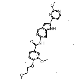 COCCOc1ccc(C(=O)Nc2cc3[nH]c(-c4ccnc(OC)n4)cc3cn2)cc1OC